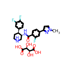 Cn1ccc(-c2ccc(C(=O)N[C@@H]3CNCC[C@H]3c3ccc(F)c(F)c3)c(F)c2)n1.O=C(O)[C@@H](O)[C@H](O)C(=O)O